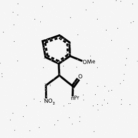 CCCC(=O)C(C[N+](=O)[O-])c1ccccc1OC